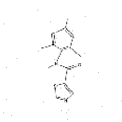 Cc1cc(C)c(N(C)C(=O)c2cncs2)c(C)c1